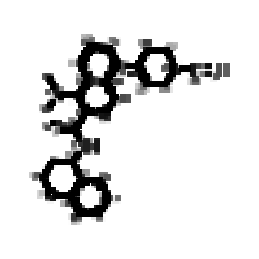 CN(C)c1c(C(=O)NC2CCOc3ccccc32)cnc2c(C3=CCN(C(=O)O)CC3)cccc12